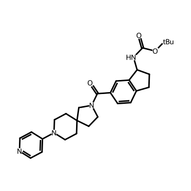 CC(C)(C)OC(=O)NC1CCc2ccc(C(=O)N3CCC4(CCN(c5ccncc5)CC4)C3)cc21